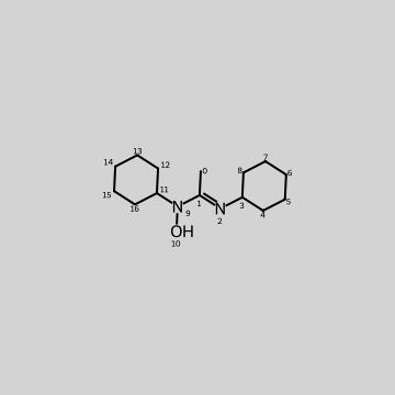 C/C(=N\C1CCCCC1)N(O)C1CCCCC1